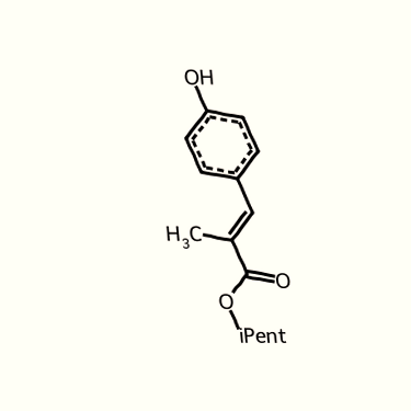 CCCC(C)OC(=O)/C(C)=C/c1ccc(O)cc1